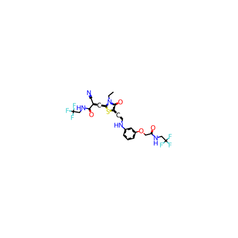 CCn1c(=C=C(C#N)C(=O)NCC(F)(F)F)sc(=C=CNc2cccc(OCC(=O)NCC(F)(F)F)c2)c1=O